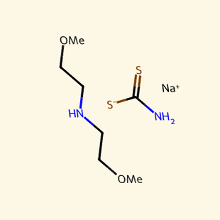 COCCNCCOC.NC(=S)[S-].[Na+]